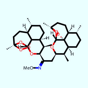 CO/N=C(/C[C@H]1O[C@@H]2O[C@]3(C)CC[C@H]4[C@H](C)CC[C@@H]([C@H]1C)[C@@]24OO3)[C@H]1O[C@@H]2O[C@]3(C)CC[C@H]4[C@H](C)CC[C@@H]([C@H]1C)[C@@]24OO3